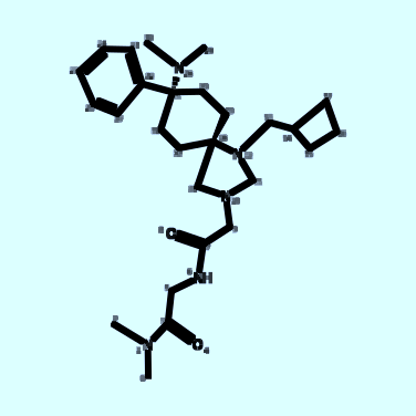 CN(C)C(=O)CNC(=O)CN1CN(CC2CCC2)[C@]2(CC[C@@](c3ccccc3)(N(C)C)CC2)C1